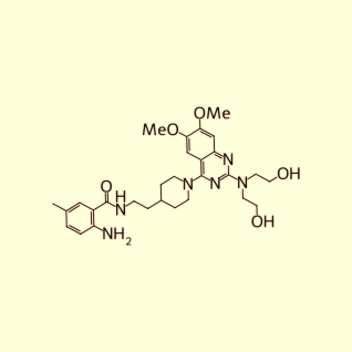 COc1cc2nc(N(CCO)CCO)nc(N3CCC(CCNC(=O)c4cc(C)ccc4N)CC3)c2cc1OC